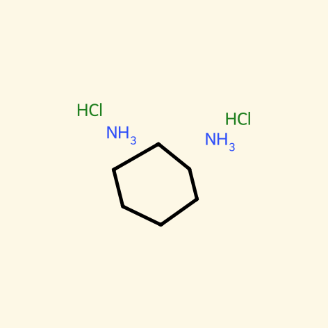 C1CCCCC1.Cl.Cl.N.N